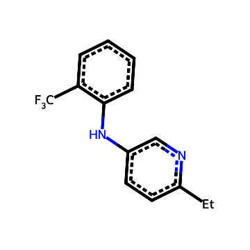 [CH2]Cc1ccc(Nc2ccccc2C(F)(F)F)cn1